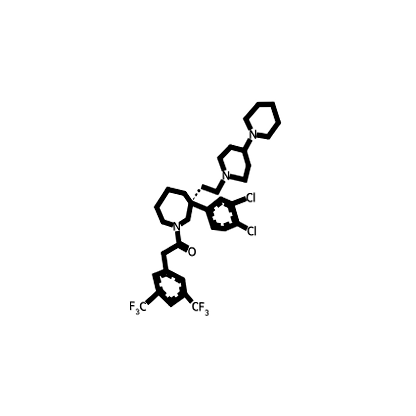 O=C(Cc1cc(C(F)(F)F)cc(C(F)(F)F)c1)N1CCCC[C@@](CCN2CCC(N3CCCCC3)CC2)(c2ccc(Cl)c(Cl)c2)C1